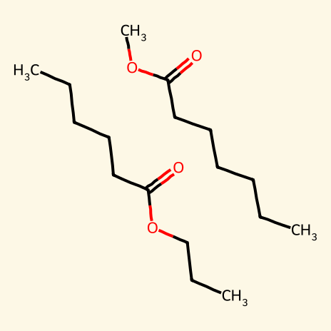 CCCCCC(=O)OCCC.CCCCCCC(=O)OC